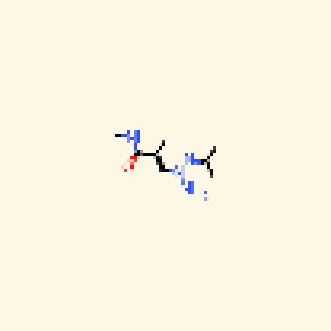 CNC(=O)/C(C)=C/N(N)N=C(C)C